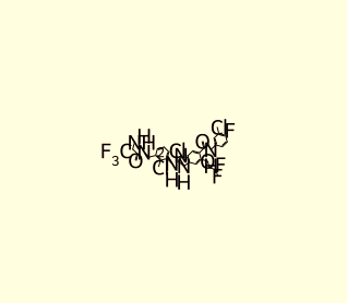 NC(C(=O)NCc1ccc(Cl)c(Nc2nc3cc(C(=O)Nc4ccc(F)c(Cl)c4)c(OCC(F)F)cc3[nH]2)c1Cl)C(F)(F)F